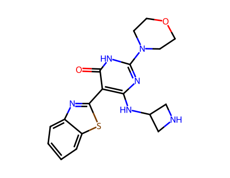 O=c1[nH]c(N2CCOCC2)nc(NC2CNC2)c1-c1nc2ccccc2s1